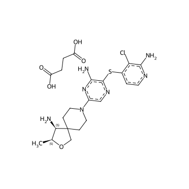 C[C@@H]1OCC2(CCN(c3cnc(Sc4ccnc(N)c4Cl)c(N)n3)CC2)[C@@H]1N.O=C(O)CCC(=O)O